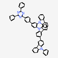 c1ccc(-c2nc(-c3ccccc3)nc(-c3ccc(-c4ccc(-n5c6ccccc6c6cc(-c7ccc8c(c7)c7ccccc7n8-c7ccccc7)ccc65)c(-n5c6ccccc6c6ccccc65)c4)cc3)n2)cc1